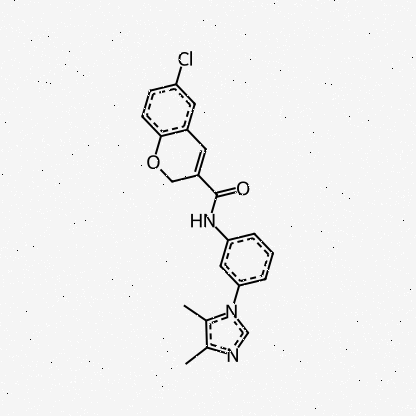 Cc1ncn(-c2cccc(NC(=O)C3=Cc4cc(Cl)ccc4OC3)c2)c1C